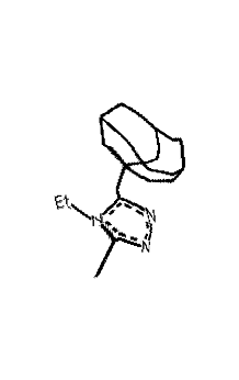 CCn1c(C)nnc1C12CC3CC(CC(C3)C1)C2